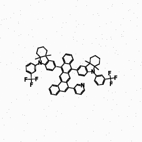 CC12CCCCC1(C)N(c1cccc(C(F)(F)F)c1)c1ccc(-c3c4ccccc4c(-c4ccc5c(c4)C4(C)CCCCC4(C)N5c4cccc(C(F)(F)F)c4)c4cc5c(cc34)c(-c3cccnc3)cc3ccccc35)cc12